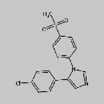 CS(=O)(=O)c1ccc(-n2cncc2-c2ccc(Cl)cc2)nc1